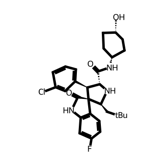 CC(C)(C)C[C@@H]1N[C@@H](C(=O)N[C@H]2CC[C@@H](O)CC2)[C@H](c2cccc(Cl)c2)[C@]12C(=O)Nc1cc(F)ccc12